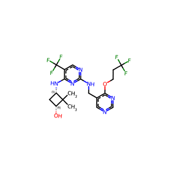 CC1(C)[C@H](O)C[C@@H]1Nc1nc(NCc2cncnc2OCCC(F)(F)F)ncc1C(F)(F)F